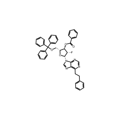 O=C(O[C@H]1[C@H](F)[C@H](n2cnc3c(CCc4ccccc4)ncnc32)O[C@@H]1COC(c1ccccc1)(c1ccccc1)c1ccccc1)c1ccccc1